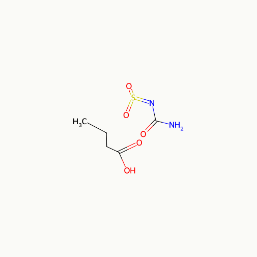 CCCC(=O)O.NC(=O)N=S(=O)=O